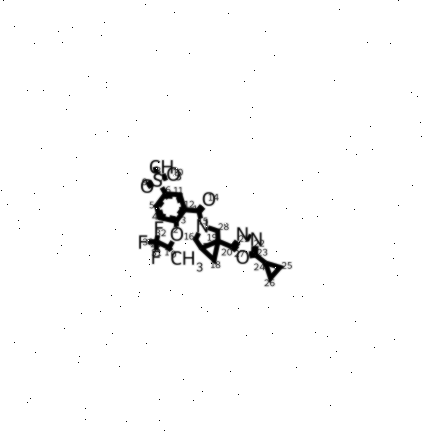 CC(Oc1ccc(S(C)(=O)=O)cc1C(=O)N1CC2CC2(c2nnc(C3CC3)o2)C1)C(F)(F)F